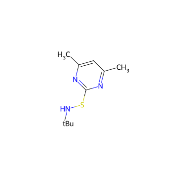 Cc1cc(C)nc(SNC(C)(C)C)n1